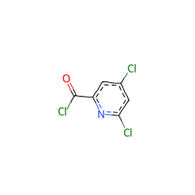 O=C(Cl)c1cc(Cl)cc(Cl)n1